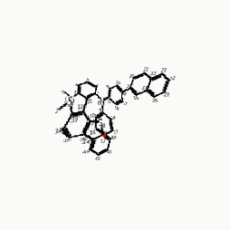 C[Si]1(C)c2cccc(N(c3ccccc3)c3ccc(-c4ccc5ccccc5c4)cc3)c2-c2c1ccc1c2sc2ccccc21